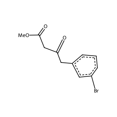 COC(=O)CC(=O)Cc1cccc(Br)c1